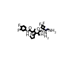 C=C(C(=O)NC1(/C(N)=C/N)CC(F)(F)C1)c1c(C)c(C(=O)Nc2ccc(F)c(F)c2)n2c1CCC2